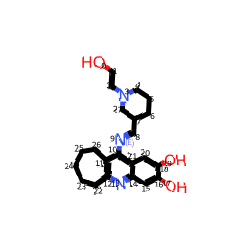 OCCN1CCCC(/C=N/c2c3c(nc4cc(O)c(O)cc24)CCCCC3)C1